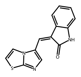 O=C1Nc2ccccc2C1=Cc1cnc2sccn12